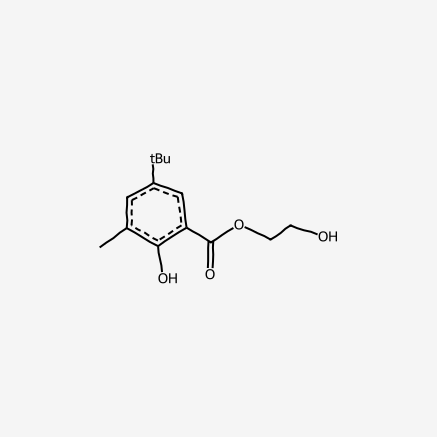 Cc1cc(C(C)(C)C)cc(C(=O)OCCO)c1O